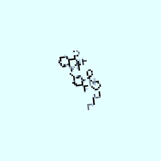 O=C(c1cc(Cc2n[nH]c(=O)c3ccccc23)ccc1F)N1CC[C@H](OCCF)C1